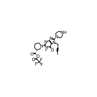 CC#CCn1c(N2CCNCC2)nc2nc(N3CCC[C@@H](C(=O)OC(=O)C(F)(F)F)C3)n(C)c(=O)c21